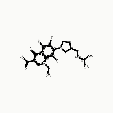 CCn1cc(C(=O)O)c(=O)c2c(F)c(F)c(N3CCC(CNC(C)C)C3)c(F)c21